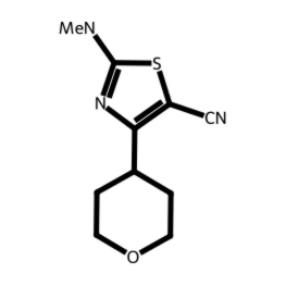 CNc1nc(C2CCOCC2)c(C#N)s1